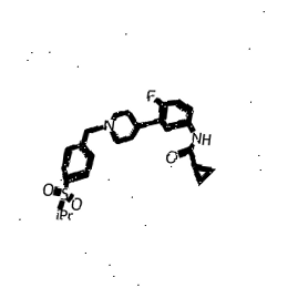 CC(C)S(=O)(=O)c1ccc(CN2CCC(c3cc(NC(=O)C4CC4)ccc3F)CC2)cc1